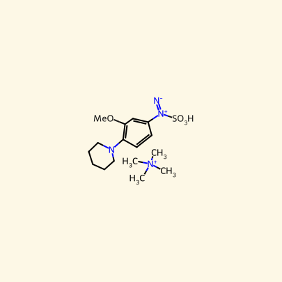 COc1cc([N+](=[N-])S(=O)(=O)O)ccc1N1CCCCC1.C[N+](C)(C)C